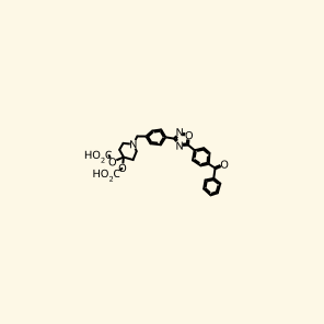 O=C(O)OC1(OC(=O)O)CCN(Cc2ccc(-c3noc(-c4ccc(C(=O)c5ccccc5)cc4)n3)cc2)CC1